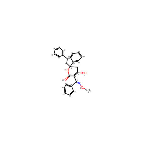 CON=C(C1=C(O)CC(CCc2ccccc2)(c2ccccc2)OC1=O)c1ccccc1